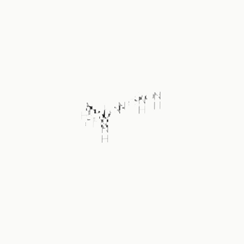 C/N=C(/N)Sc1cc(-c2c(Cl)cc3c(N4CCNCC4)nc(OCCCN4CCN(CCCOCCC(=O)NCCOCCNC)CC4)nc3c2F)ccc1F